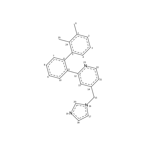 Cc1cccc(-c2ccccc2-c2cc(Cn3ccnc3)ccn2)c1C